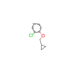 Clc1c[c]ccc1OCC1CC1